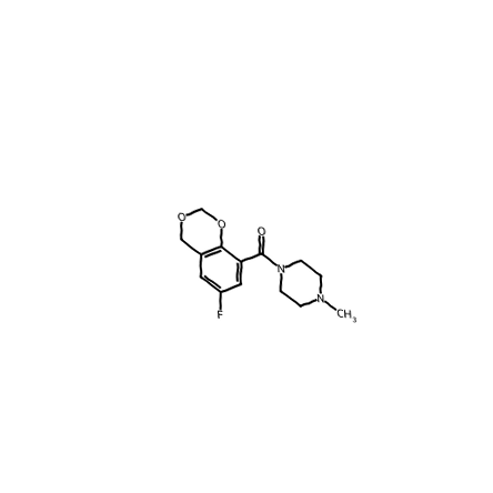 CN1CCN(C(=O)c2cc(F)cc3c2OCOC3)CC1